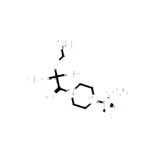 COP(=O)(C(C)C)N1CCN(C(=O)C(C)(C)OCN)CC1